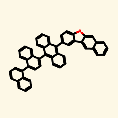 c1ccc2cc3c(cc2c1)oc1ccc(-c2c4ccccc4c(-c4ccc(-c5cccc6ccccc56)c5ccccc45)c4ccccc24)cc13